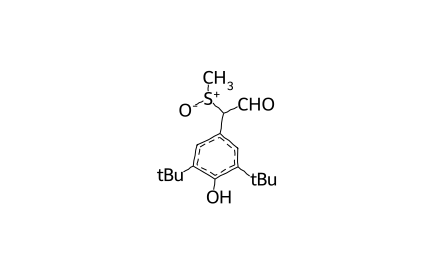 C[S+]([O-])C(C=O)c1cc(C(C)(C)C)c(O)c(C(C)(C)C)c1